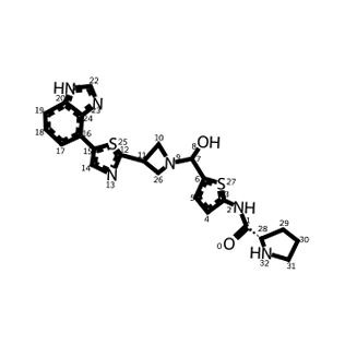 O=C(Nc1ccc(C(O)N2CC(c3ncc(-c4cccc5[nH]cnc45)s3)C2)s1)[C@@H]1CCCN1